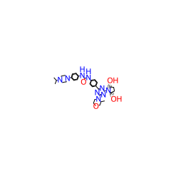 CC(C)N1CCN(c2ccc(NC(=O)Nc3ccc(-c4nc(N5CCOCC5C)nc(N5[C@H](CO)CC[C@@H]5CO)n4)cc3)cc2)CC1